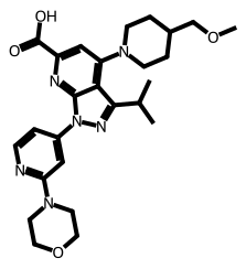 COCC1CCN(c2cc(C(=O)O)nc3c2c(C(C)C)nn3-c2ccnc(N3CCOCC3)c2)CC1